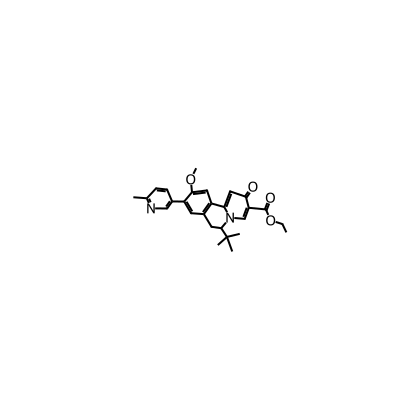 CCOC(=O)c1cn2c(cc1=O)-c1cc(OC)c(-c3ccc(C)nc3)cc1CC2C(C)(C)C